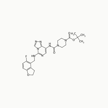 CC(C)(C)OC(=O)N1CCN(C(=O)Nc2cnc(NCc3c(F)ccc4c3CCO4)n3cnnc23)CC1